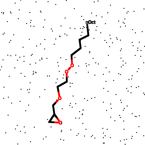 CCCCCCCCCCCCOOCCOCC1CO1